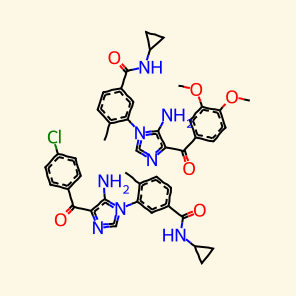 COc1ccc(C(=O)c2ncn(-c3cc(C(=O)NC4CC4)ccc3C)c2N)cc1OC.Cc1ccc(C(=O)NC2CC2)cc1-n1cnc(C(=O)c2ccc(Cl)cc2)c1N